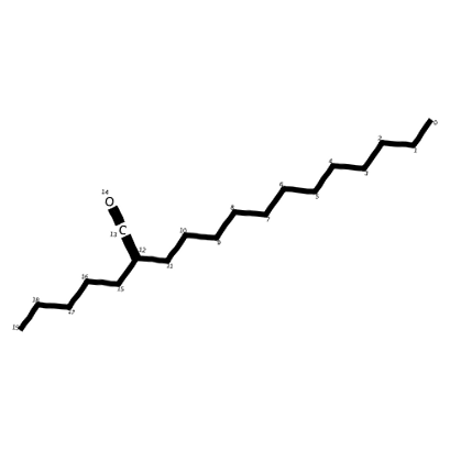 CCCCCCCCCCCCC(=C=O)CCCCC